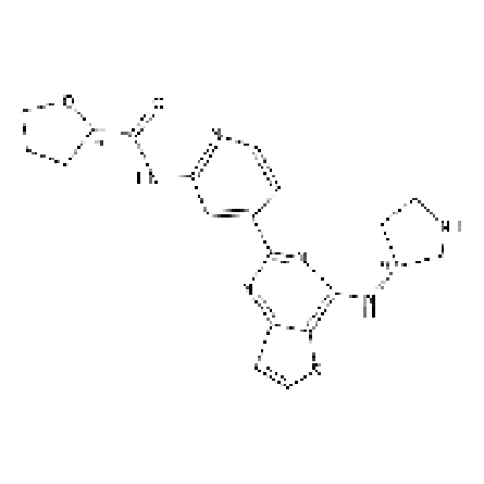 O=C(Nc1cc(-c2nc(N[C@@H]3CCNC3)c3sccc3n2)ccn1)[C@@H]1CCCO1